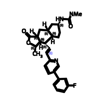 CNC(=O)N[C@@H]1CC[C@@H]2[C@@H](C1)C[C@H]1C(=O)O[C@H](C)[C@H]1[C@H]2/C=C/c1ccc(-c2cccc(F)c2)cn1